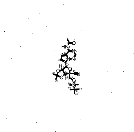 CC(=O)Nc1ncnn2c([C@@H]3O[C@](C#N)(CO[Si](C)(C)C(C)(C)C)[C@H]4OC(C)(C)O[C@@H]34)ccc12